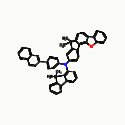 C[Si]1(C)c2cc(N(c3ccc(-c4ccc5ccccc5c4)cc3)c3cccc4c3[Si](C)(C)c3ccccc3-4)ccc2-c2c1ccc1c2oc2ccccc21